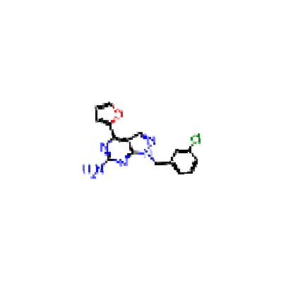 Nc1nc(-c2ccco2)c2cnn(Cc3cccc(Cl)c3)c2n1